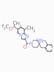 COC(C)c1cc(C)c2nc(C(=O)N3CCC4(CC3)Cc3ccccc3CN4)cn2c1